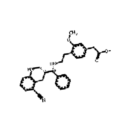 COc1cc(CC(=O)O)ccc1CCN[C@H](c1ccccc1)[C@H]1CNc2cccc(C#N)c2C1